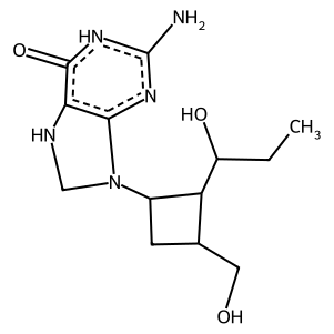 CCC(O)C1C(CO)CC1N1CNc2c1nc(N)[nH]c2=O